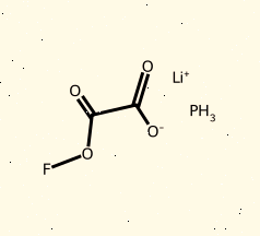 O=C([O-])C(=O)OF.P.[Li+]